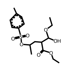 CCOC(=O)C(CC(C)OS(=O)(=O)c1ccc(C)cc1)C(O)OCC